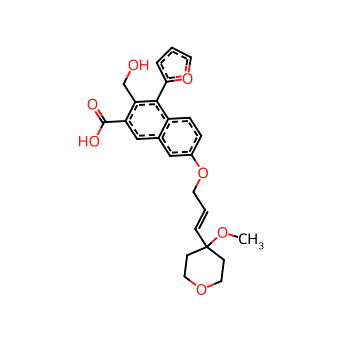 COC1(C=CCOc2ccc3c(-c4ccco4)c(CO)c(C(=O)O)cc3c2)CCOCC1